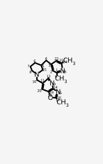 Cc1cc(CC2CCCN(Cc3cnc4nc(C)oc4c3)C2)cc(C)n1